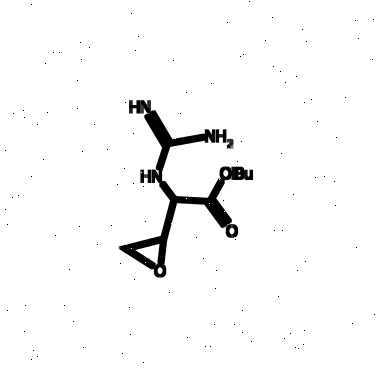 CC(C)COC(=O)C(NC(=N)N)C1CO1